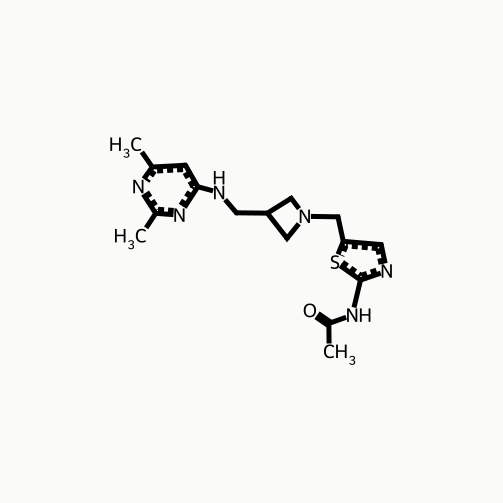 CC(=O)Nc1ncc(CN2CC(CNc3cc(C)nc(C)n3)C2)s1